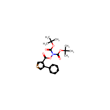 CC(C)(C)OC(=O)N(OC(=O)c1cscc1-c1ccccc1)C(=O)OC(C)(C)C